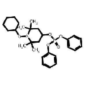 CC1(C)CC(OP(=O)(Oc2ccccc2)Oc2ccccc2)CC(C)(C)N1OC1CCCCC1